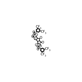 O=C1C2C(=O)N(OS(=O)(=O)c3cc(C(F)(F)F)cc(C(F)(F)F)c3)C(=O)C2C2C[N+](=O)C(OS(=O)(=O)c3cc(C(F)(F)F)cc(C(F)(F)F)c3)C12